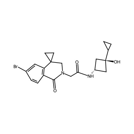 O=C(CN1CC2(CC2)c2cc(Br)ccc2C1=O)N[C@H]1C[C@@](O)(C2CC2)C1